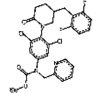 CC(C)(C)OC(=O)N(Cc1ccccn1)c1cc(Cl)c(N2CC(Cc3c(F)cccc3F)CCC2=O)c(Cl)c1